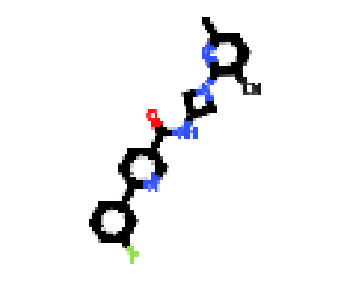 Cc1ccc(C#N)c(N2CC(NC(=O)c3ccc(-c4cccc(F)c4)nc3)C2)n1